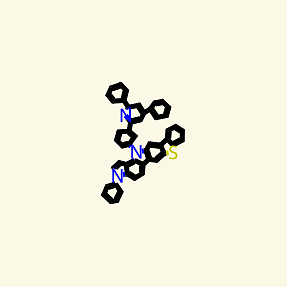 c1ccc(-c2cc(-c3ccccc3)nc(-c3cccc(-n4c5cc6c(cc5c5ccc7c(ccn7-c7ccccc7)c54)sc4ccccc46)c3)c2)cc1